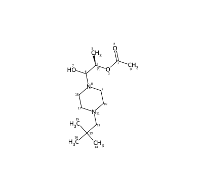 CC(=O)O[C@H](C)C(O)N1CCN(CC(C)(C)C)CC1